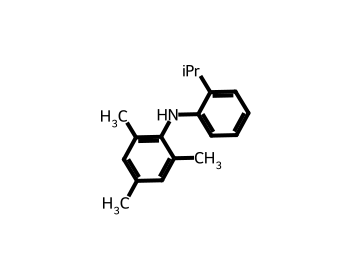 Cc1cc(C)c(Nc2ccccc2C(C)C)c(C)c1